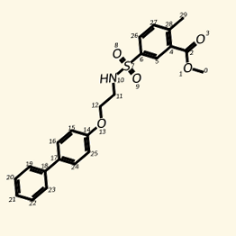 COC(=O)c1cc(S(=O)(=O)NCCOc2ccc(-c3ccccc3)cc2)ccc1C